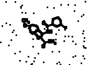 COc1ccc2c(NC(=O)c3cccc(F)c3)c(C(N)=O)oc2c1